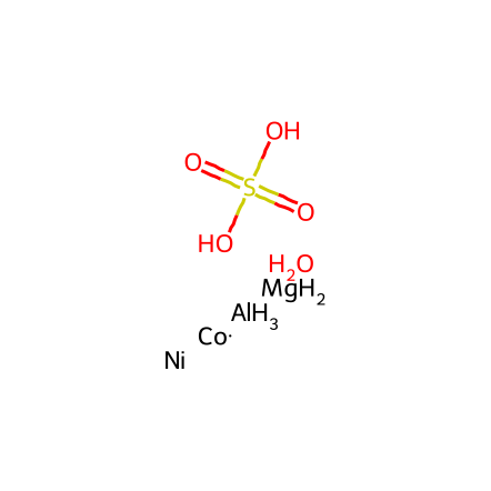 O.O=S(=O)(O)O.[AlH3].[Co].[MgH2].[Ni]